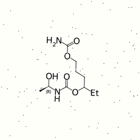 CCC(CCCOC(N)=O)OC(=O)N[C@@H](C)O